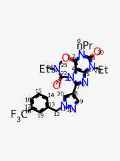 CCCn1c(=O)c2c(nc(-c3cnn(Cc4cccc(C(F)(F)F)c4)c3)n2C(=O)N(C)CC)n(CC)c1=O